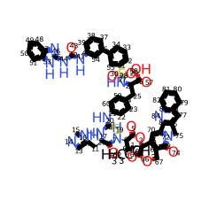 CC[C@@]1(OC(=O)[C@@H](NC(=O)[C@H](Cc2cnc[nH]2)NC(=S)Nc2ccc(CC(NS(=O)(=O)c3cccc(-c4cccc(NC(=O)Nc5nc6ccccc6[nH]5)c4)c3)C(=O)O)cc2)C(C)C)C(=O)OCc2c1cc1n(c2=O)Cc2cc3ccccc3nc2-1